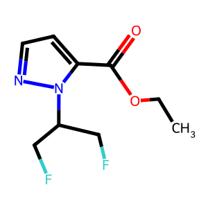 CCOC(=O)c1ccnn1C(CF)CF